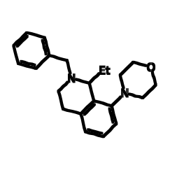 CCC1c2c(cccc2N2CCOCC2)CCN1Cc1ccccc1